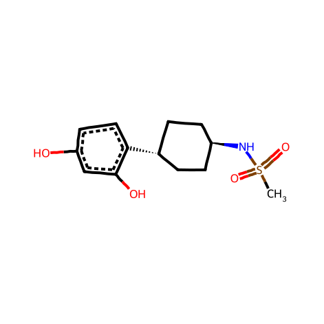 CS(=O)(=O)N[C@H]1CC[C@H](c2ccc(O)cc2O)CC1